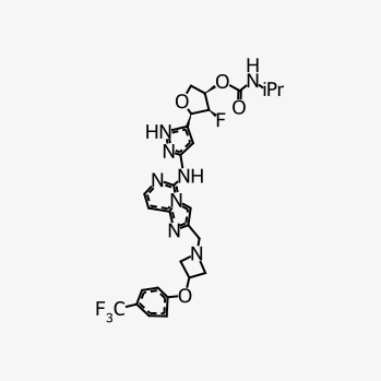 CC(C)NC(=O)O[C@@H]1CO[C@H](c2cc(Nc3nccc4nc(CN5CC(Oc6ccc(C(F)(F)F)cc6)C5)cn34)n[nH]2)[C@@H]1F